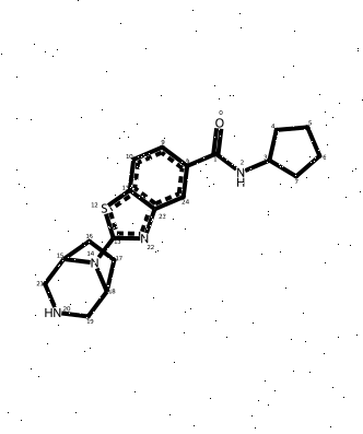 O=C(NC1CCCC1)c1ccc2sc(N3C4CCC3CNC4)nc2c1